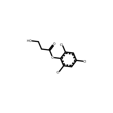 O=C(CCO)Oc1c(Cl)cc(Cl)cc1Cl